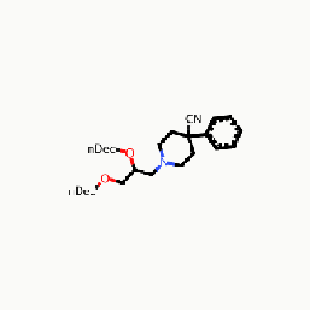 CCCCCCCCCCOCC(CN1CCC(C#N)(c2ccccc2)CC1)OCCCCCCCCCC